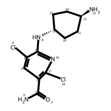 NC(=O)c1cc(Cl)c(N[C@H]2CC[C@H](N)CC2)nc1Cl